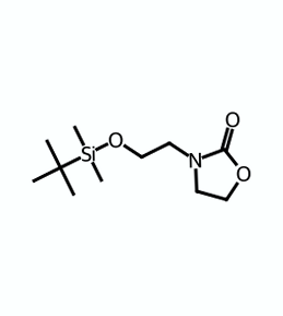 CC(C)(C)[Si](C)(C)OCCN1CCOC1=O